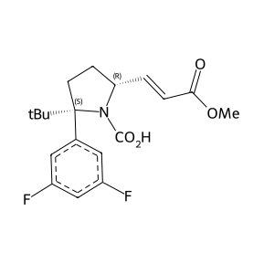 COC(=O)C=C[C@H]1CC[C@@](c2cc(F)cc(F)c2)(C(C)(C)C)N1C(=O)O